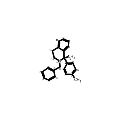 Cc1ccc(C2(C)c3ccccc3CCN2Cc2ccccc2)cc1